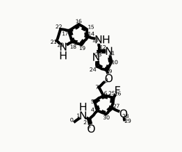 CNC(=O)c1cc(COc2cnc(Nc3ccc4c(c3)NCC4)nc2)c(F)c(OC)c1